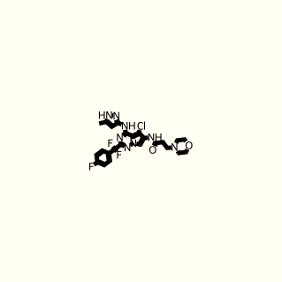 Cc1cc(Nc2nc(C(F)(F)c3ccc(F)cc3)nn3cc(NC(=O)CCN4CCOCC4)c(Cl)c23)n[nH]1